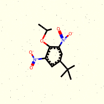 CC(C)Oc1c([N+](=O)[O-])cc(C(C)(C)C)cc1[N+](=O)[O-]